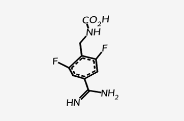 N=C(N)c1cc(F)c(CNC(=O)O)c(F)c1